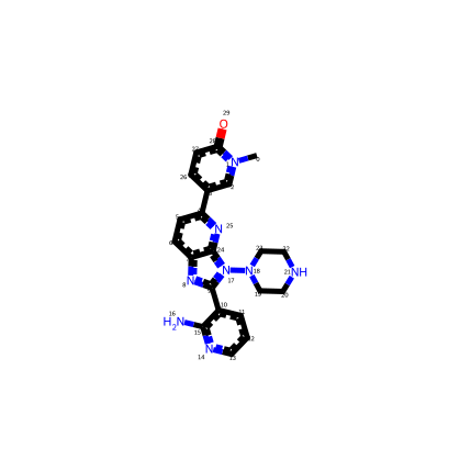 Cn1cc(-c2ccc3nc(-c4cccnc4N)n(N4CCNCC4)c3n2)ccc1=O